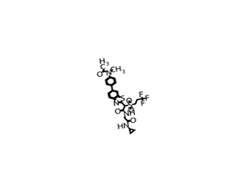 CC(=O)N(C)c1ccc(-c2ccc3nc(C(C(=O)NCC(=O)NC4CC4)S(=O)(=O)CCC(F)(F)F)sc3c2)cc1